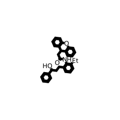 CCc1cccc(CCC(O)c2ccccc2)c1NC(=O)CC1c2ccccc2Oc2ccccc21